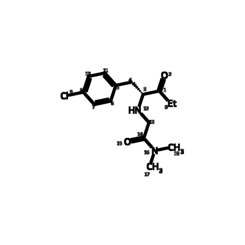 CCC(=O)[C@@H](Cc1ccc(Cl)cc1)NCC(=O)N(C)C